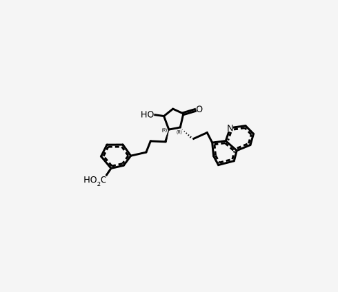 O=C(O)c1cccc(CCC[C@H]2C(O)CC(=O)[C@@H]2CCc2cccc3cccnc23)c1